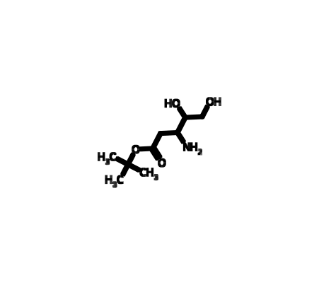 CC(C)(C)OC(=O)CC(N)C(O)CO